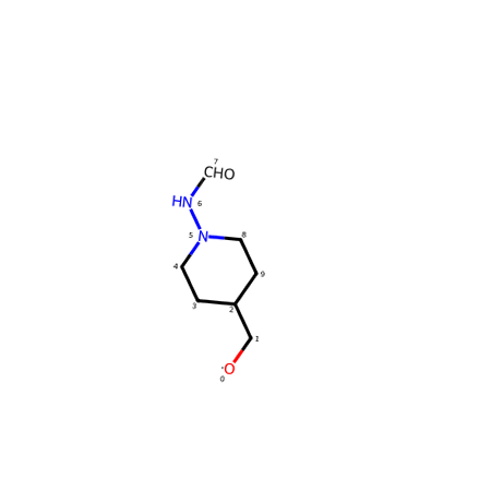 [O]CC1CCN(NC=O)CC1